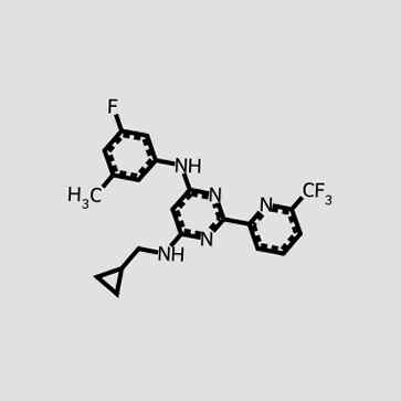 Cc1cc(F)cc(Nc2cc(NCC3CC3)nc(-c3cccc(C(F)(F)F)n3)n2)c1